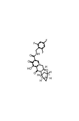 O=C(NCc1c(F)cc(F)cc1F)c1cn2c(c(O)c1=O)C(=O)N1[C@@H]3C[C@H](O[C@@H]1C2)[C@H]1C[C@H]13